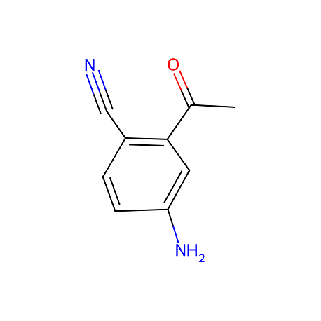 CC(=O)c1cc(N)ccc1C#N